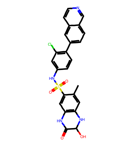 Cc1cc2c(cc1S(=O)(=O)Nc1ccc(-c3ccc4cnccc4c3)c(Cl)c1)NC(=O)C(O)N2